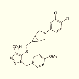 COc1ccc(Cn2nnc(C(=O)O)c2SCC2C3CN(c4ccc(Cl)c(Cl)c4)CC23)cc1